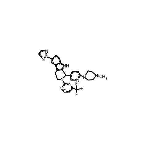 CN1CCN(c2ccc(C3c4[nH]c5ccc(-n6nccn6)cc5c4CCN3c3nccc(C(F)(F)F)n3)cn2)CC1